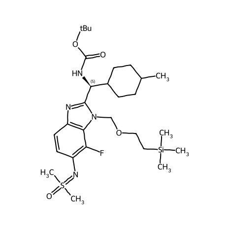 CC1CCC([C@H](NC(=O)OC(C)(C)C)c2nc3ccc(N=S(C)(C)=O)c(F)c3n2COCC[Si](C)(C)C)CC1